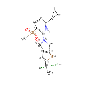 CCS(=O)(=O)c1ccc(C2CC2)nc1N1Cc2sc(C(F)(F)C(F)(F)F)cc2C1=O